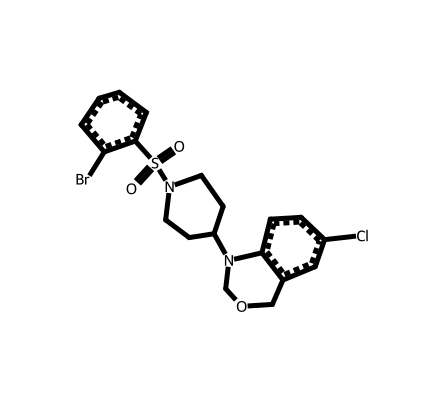 O=S(=O)(c1ccccc1Br)N1CCC(N2COCc3cc(Cl)ccc32)CC1